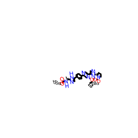 C[C@H](NC(=O)OC(C)(C)C)c1ncc(-c2ccc(-c3cnc(C4CN=C([C@@H]5CCCN5C(=O)OC(C)(C)C)N4COCC[Si](C)(C)C)cn3)cc2)[nH]1